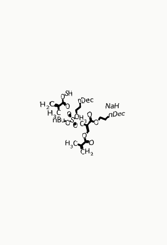 C=C(C)C(=O)OC=C(C)C(=O)OCCCCCCCCCCCC.C=C(C)C(=O)OS.CCCCCCCCCCCCOS(=O)(=O)OCCCC.[NaH]